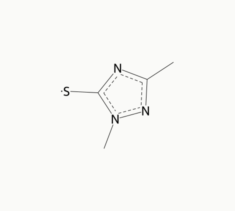 Cc1nc([S])n(C)n1